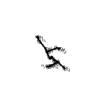 CCC(CC)COC(=O)CCCCCCC(O)CN(CCCSSCCN1CCN(CCOC(=O)CCCN(CC(O)CCCCC(=O)OC(C)C)CC(O)CCCCC(=O)OC(C)C)CC1)CC(O)CCCCCCC(=O)OCC(CC)CC